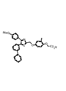 COc1ccc(-c2nc(COc3ccc(OCC(=O)O)c(C)c3)sc2-c2cccc(-c3ccccc3)c2)cc1